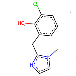 Cn1ccnc1Cc1cccc(Cl)c1O